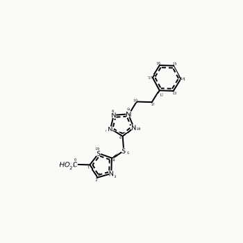 O=C(O)c1cnc(Sc2nnn(CCc3ccccc3)n2)s1